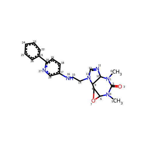 CN1C(=O)N(C)C2OC2C2C1N=CN2CCNc1ccc(-c2ccccc2)nc1